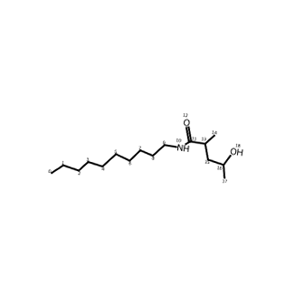 CCCCCCCCCCNC(=O)C(C)CC(C)O